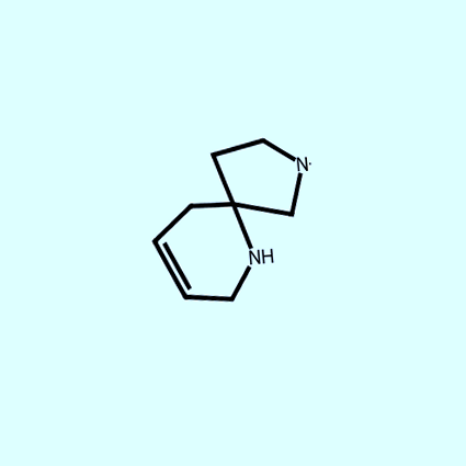 C1=CCC2(CC[N]C2)NC1